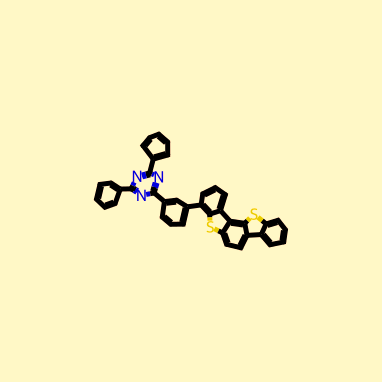 c1ccc(-c2nc(-c3ccccc3)nc(-c3cccc(-c4cccc5c4sc4ccc6c7ccccc7sc6c45)c3)n2)cc1